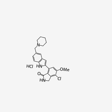 COc1cc(-c2cc3cc(CN4CCCCC4)ccc3[nH]2)c2c(c1Cl)CNC2=O.Cl